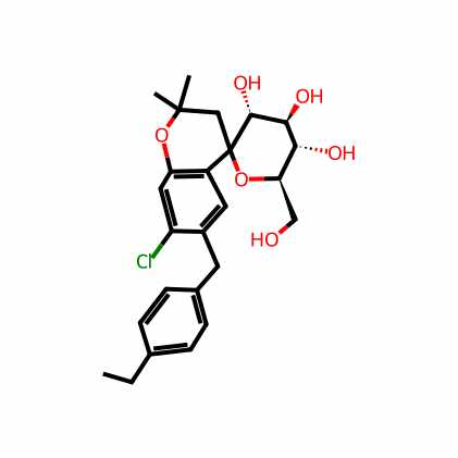 CCc1ccc(Cc2cc3c(cc2Cl)OC(C)(C)CC32O[C@H](CO)[C@@H](O)[C@H](O)[C@H]2O)cc1